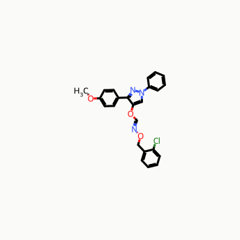 COc1ccc(-c2nn(-c3ccccc3)cc2O/C=N/OCc2ccccc2Cl)cc1